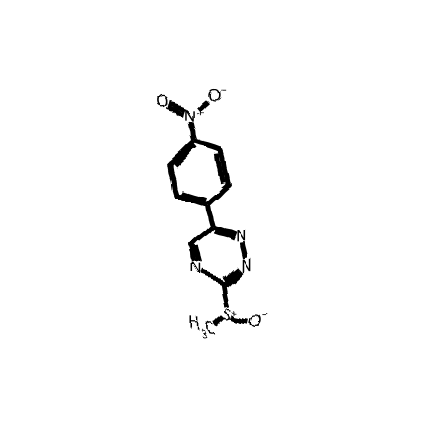 C[S+]([O-])c1ncc(-c2ccc([N+](=O)[O-])cc2)nn1